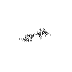 COC(=O)C(CCCNC(=N)N)Nc1ccc(OCCSc2ncc(C(C)(C)c3ccc(OC)c(OC)c3)n2-c2ccc(F)cc2)cc1